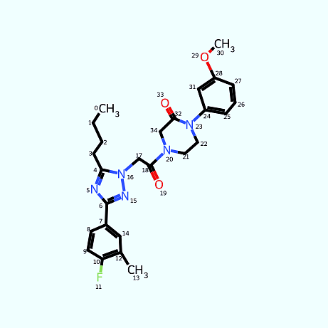 CCCCc1nc(-c2ccc(F)c(C)c2)nn1CC(=O)N1CCN(c2cccc(OC)c2)C(=O)C1